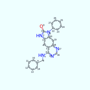 O=c1[nH]c2cc3c(NCc4ccccc4)ncnc3cc2n1-c1ccccc1